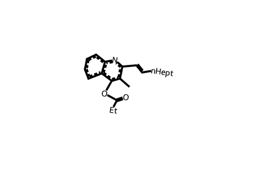 CCCCCCCC=Cc1nc2ccccc2c(OC(=O)CC)c1C